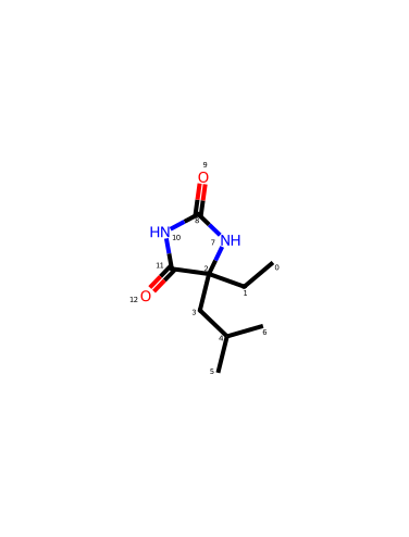 CCC1(CC(C)C)NC(=O)NC1=O